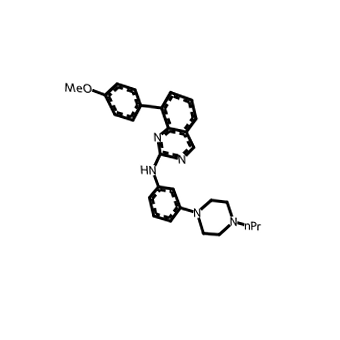 CCCN1CCN(c2cccc(Nc3ncc4cccc(-c5ccc(OC)cc5)c4n3)c2)CC1